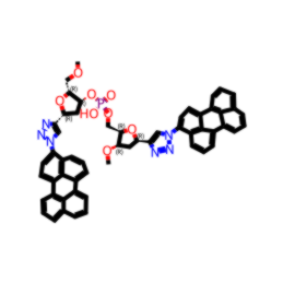 COC[C@H]1O[C@@H](c2cn(-c3ccc4c5cccc6cccc(c7cccc3c74)c65)nn2)C[C@H]1OP(=O)(O)OC[C@H]1O[C@@H](c2cn(-c3ccc4c5cccc6cccc(c7cccc3c74)c65)nn2)C[C@H]1OC